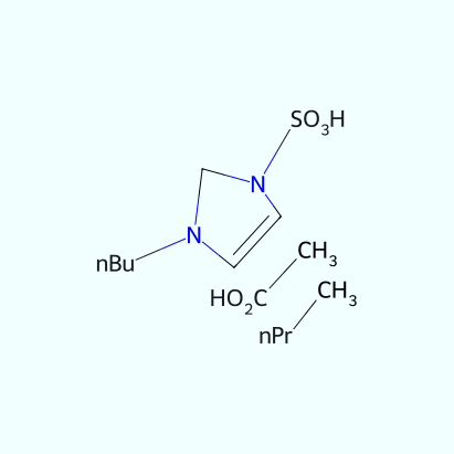 CC(=O)O.CCCC.CCCCN1C=CN(S(=O)(=O)O)C1